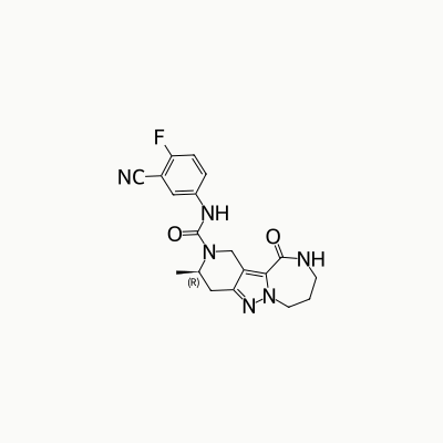 C[C@@H]1Cc2nn3c(c2CN1C(=O)Nc1ccc(F)c(C#N)c1)C(=O)NCCC3